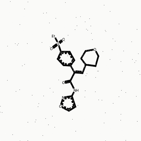 CCS(=O)(=O)c1ccc(/C(=C\C2CCOCC2)C(=O)Nc2ccon2)cc1